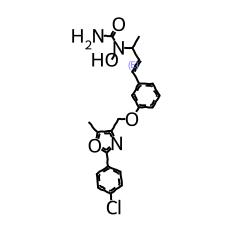 Cc1oc(-c2ccc(Cl)cc2)nc1COc1cccc(/C=C/C(C)N(O)C(N)=O)c1